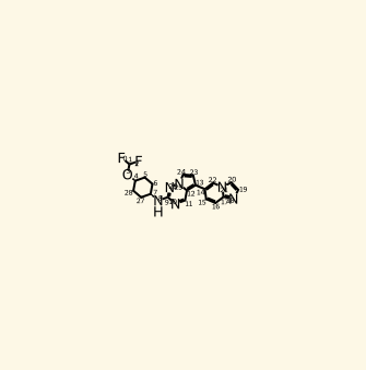 FC(F)O[C@H]1CC[C@@H](Nc2ncc3c(-c4ccc5nccn5c4)ccn3n2)CC1